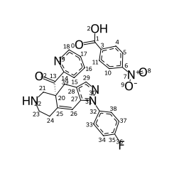 O=C(O)c1ccc([N+](=O)[O-])cc1.O=C(c1ccccn1)[C@@]12CNCCC1=Cc1c(cnn1-c1ccc(F)cc1)C2